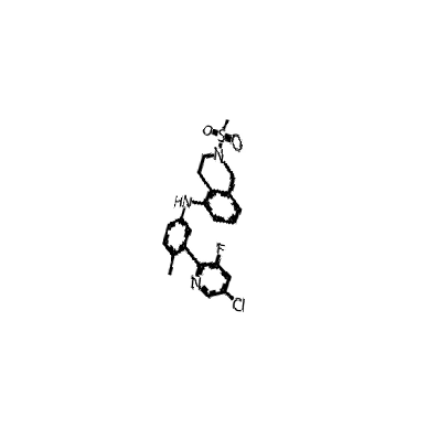 Cc1ccc(Nc2cccc3c2CCN(S(C)(=O)=O)C3)cc1-c1ncc(Cl)cc1F